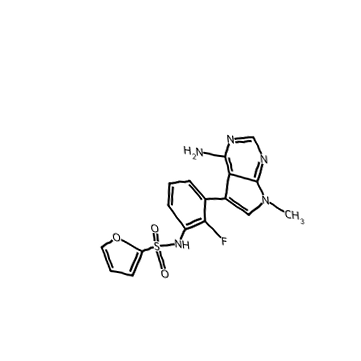 Cn1cc(-c2cccc(NS(=O)(=O)c3ccco3)c2F)c2c(N)ncnc21